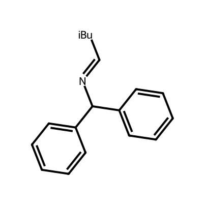 CCC(C)C=NC(c1ccccc1)c1ccccc1